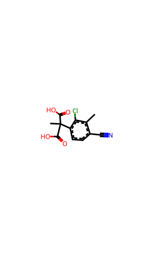 Cc1c(C#N)ccc(C(C)(C(=O)O)C(=O)O)c1Cl